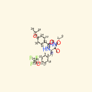 CCONC(=O)/C(=C/c1ccc(OC(F)(F)F)cc1)NC(=O)c1ccc(OC(C)C)cc1